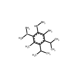 BBc1c(B)c(C(C)C)c(C(C)C)c(C)c1B(B)B